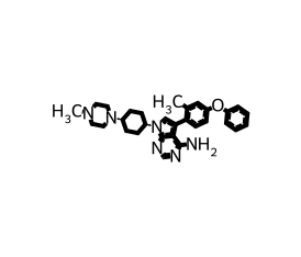 Cc1cc(Oc2ccccc2)ccc1-c1cn([C@H]2CC[C@@H](N3CCN(C)CC3)CC2)c2ncnc(N)c12